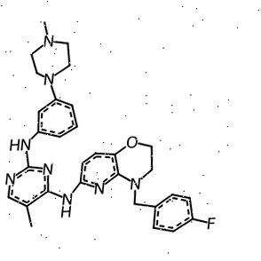 Cc1cnc(Nc2cccc(N3CCN(C)CC3)c2)nc1Nc1ccc2c(n1)N(Cc1ccc(F)cc1)CCO2